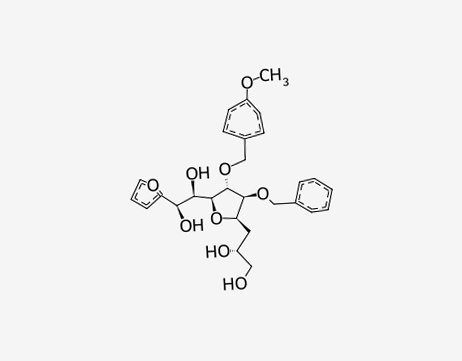 COc1ccc(CO[C@@H]2[C@@H](OCc3ccccc3)[C@@H](C[C@@H](O)CO)O[C@H]2[C@H](O)[C@@H](O)c2ccco2)cc1